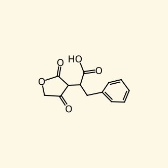 O=C(O)C(Cc1ccccc1)C1C(=O)COC1=O